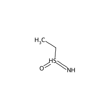 CC[SH](=N)=O